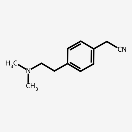 CN(C)CCc1ccc(CC#N)cc1